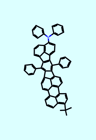 CC(C)(C)c1ccc2c3ccc4c5c(-c6ccccc6)c6c7ccc(N(c8ccccc8)c8ccccc8)c8cccc(c6c(-c6ccccc6)c5c5ccc(c6cccc1c62)c3c54)c87